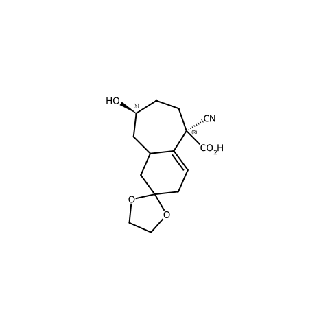 N#C[C@@]1(C(=O)O)CC[C@H](O)CC2CC3(CC=C21)OCCO3